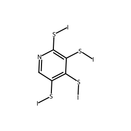 ISc1cnc(SI)c(SI)c1SI